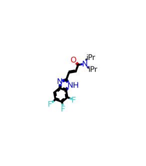 CC(C)N(C(=O)C=Cc1nc2cc(F)c(F)c(F)c2[nH]1)C(C)C